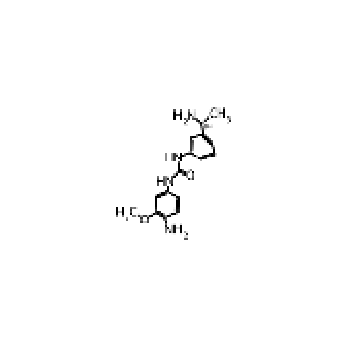 COc1cc(NC(=O)Nc2cccc([C@H](C)N)c2)ccc1N